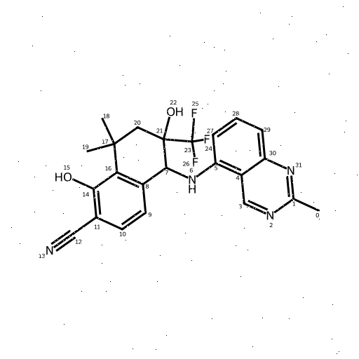 Cc1ncc2c(NC3c4ccc(C#N)c(O)c4C(C)(C)CC3(O)C(F)(F)F)cccc2n1